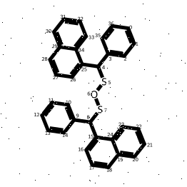 c1ccc(C(SOSC(c2ccccc2)c2cccc3ccccc23)c2cccc3ccccc23)cc1